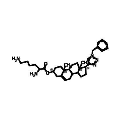 C[C@]12CC[C@H](OC(=O)C(N)CCCCN)CC1=CCC1C2CC[C@@]2(C)C1CC[C@@H]2c1cn(Cc2ccccc2)nn1